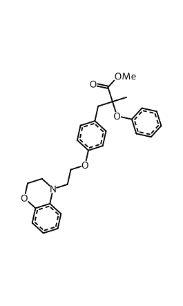 COC(=O)C(C)(Cc1ccc(OCCN2CCOc3ccccc32)cc1)Oc1ccccc1